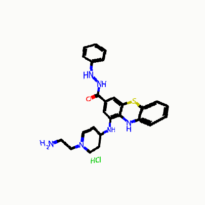 Cl.NCCN1CCC(Nc2cc(C(=O)NNc3ccccc3)cc3c2Nc2ccccc2S3)CC1